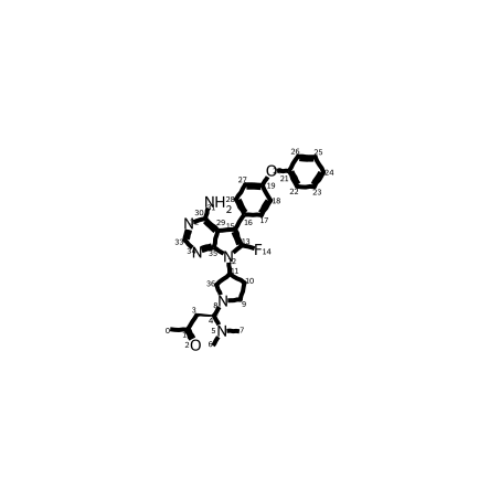 CC(=O)C[C@H](N(C)C)N1CCC(n2c(F)c(-c3ccc(Oc4ccccc4)cc3)c3c(N)ncnc32)C1